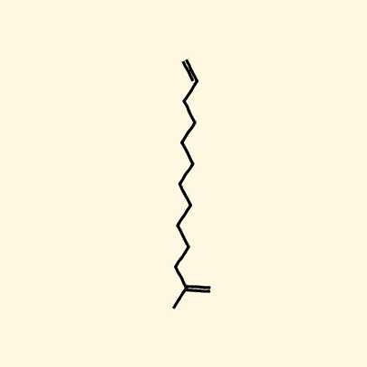 C=CCCCCCCCCCC(=C)C